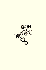 CCC(C)OC(=O)C(=CNc1cc(C)nn1-c1ccc(OC)cc1)C(=O)O